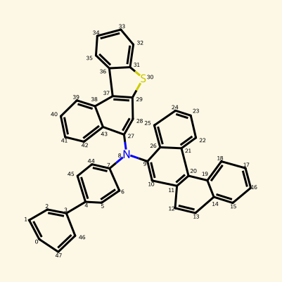 c1ccc(-c2ccc(N(c3cc4ccc5ccccc5c4c4ccccc34)c3cc4sc5ccccc5c4c4ccccc34)cc2)cc1